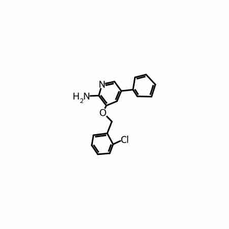 Nc1ncc(-c2ccccc2)cc1OCc1ccccc1Cl